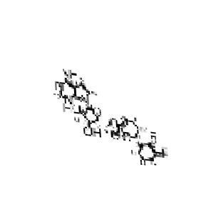 C[C@@]1(O)[C@H](O)[C@@H](COP2(=O)OCC[C@H](c3cccc(F)c3F)O2)O[C@H]1n1ccc2c(N)ncnc21